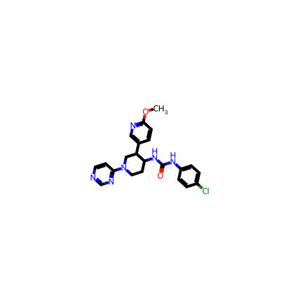 COc1ccc(C2CN(c3ccncn3)CCC2NC(=O)Nc2ccc(Cl)cc2)cn1